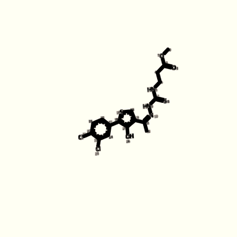 COC(=O)CCNC(=S)N/N=C(/C)c1csc(-c2ccc(Cl)c(Cl)c2)c1O